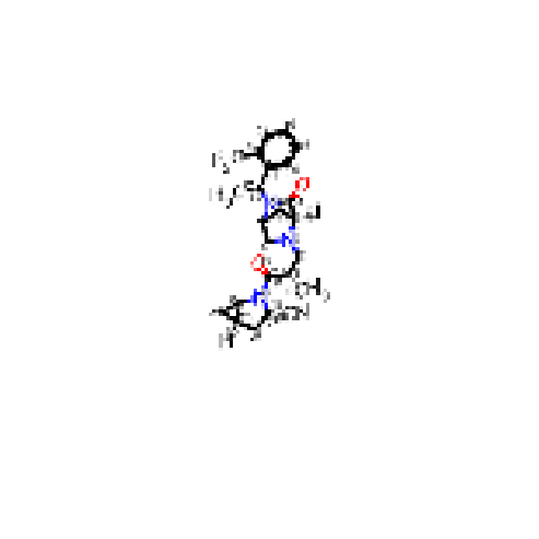 C[C@@H](CN1CC2C[C@H]1C(=O)N2[C@@H](C)c1ccccc1C(F)(F)F)C(=O)N1C2C[C@H]2C[C@H]1C#N